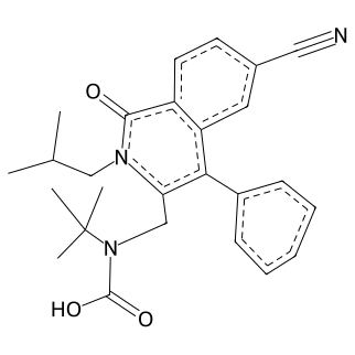 CC(C)Cn1c(CN(C(=O)O)C(C)(C)C)c(-c2ccccc2)c2cc(C#N)ccc2c1=O